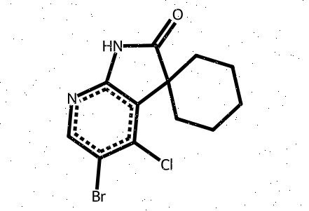 O=C1Nc2ncc(Br)c(Cl)c2C12CCCCC2